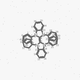 C1=C=C(N2/C(=C3\N(C4=CC=CCC4)c4ccccc4N3c3ccccc3)N(c3ccccc3)c3ccccc32)C=CC=1